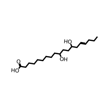 CCCC=CCC(O)CCC(O)CCCCCCCCC(=O)O